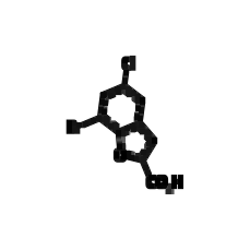 O=C(O)c1cc2cc(Cl)cc(Br)c2o1